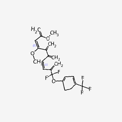 C=C(/C=C(/OC)C(=C)C(=C)/C=C\C(=C)C(F)(F)OC1=CC=C(C(F)(F)F)CC1)OC